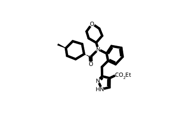 CCOC(=O)c1c[nH]nc1Cc1ccccc1N(C(=O)[C@H]1CC[C@H](C)CC1)C1CCOCC1